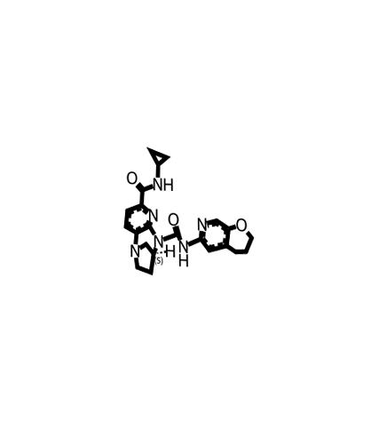 O=C(NC1CC1)c1ccc2c(n1)N(C(=O)Nc1cc3c(cn1)OCCC3)[C@H]1CCN2C1